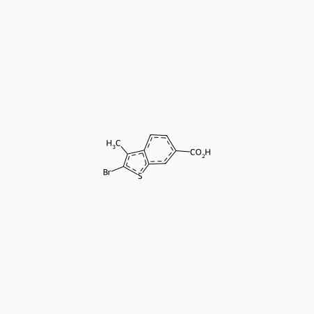 Cc1c(Br)sc2cc(C(=O)O)ccc12